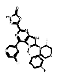 C[C@@H]1COC[C@@H](C)N1C1Nc2nc(-c3n[nH]c(=O)o3)nc(-c3cncc(Cl)c3)c2N1C[C@H]1CC[C@H](C)CC1